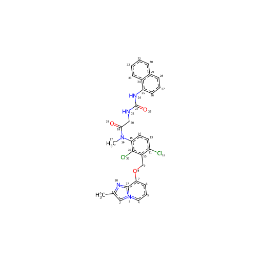 Cc1cn2cccc(OCc3c(Cl)ccc(N(C)C(=O)CNC(=O)Nc4cccc5ccccc45)c3Cl)c2n1